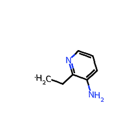 [CH2]Cc1ncccc1N